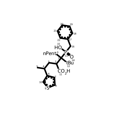 CCCCCC(C(CC(C)c1ccsc1)C(=O)O)(C(C)(C)C)P(=O)(O)Cc1ccccc1